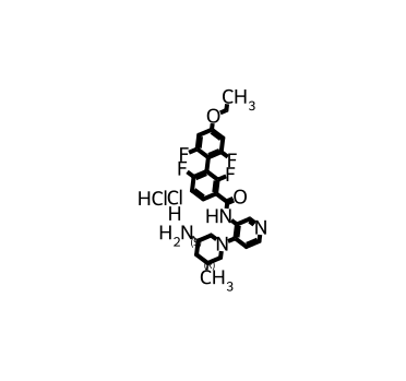 CCOc1cc(F)c(-c2c(F)ccc(C(=O)Nc3cnccc3N3C[C@H](C)C[C@H](N)C3)c2F)c(F)c1.Cl.Cl